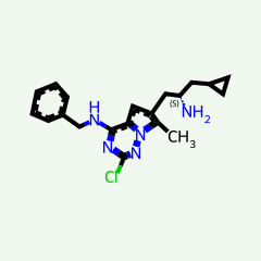 Cc1c(C[C@@H](N)CC2CC2)cc2c(NCc3ccccc3)nc(Cl)nn12